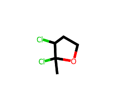 CC1(Cl)OCCC1Cl